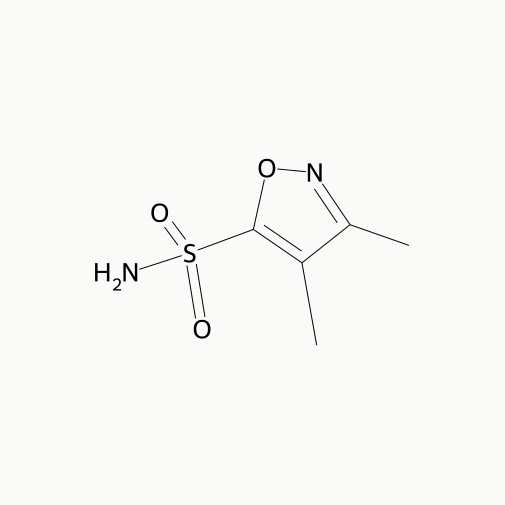 Cc1noc(S(N)(=O)=O)c1C